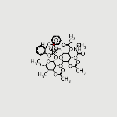 CC[C@@H]1O[C@H](OP(=O)(Oc2ccccc2)Oc2ccccc2)[C@@H](O[C@H]2O[C@H](COC(C)=O)[C@@H](OC(C)=O)[C@H](OC(=O)NC)[C@@H]2OC(C)=O)[C@@H](OC(C)=O)[C@@H]1C